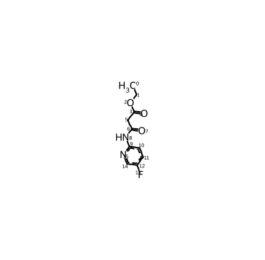 CCOC(=O)CC(=O)Nc1ccc(F)cn1